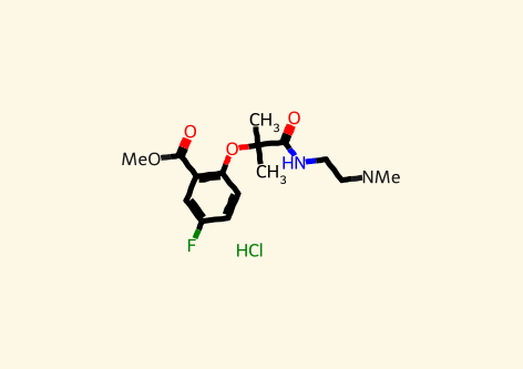 CNCCNC(=O)C(C)(C)Oc1ccc(F)cc1C(=O)OC.Cl